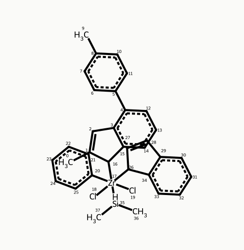 CC1=Cc2c(-c3ccc(C)cc3)cccc2[CH]1[Zr]([Cl])([Cl])([c]1ccccc1)([CH]1C=Cc2ccccc21)[SiH](C)C